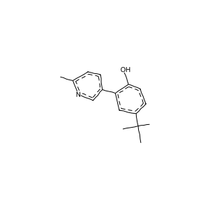 Cc1ccc(-c2cc(C(C)(C)C)ccc2O)cn1